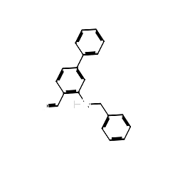 O=Cc1ccc(-c2ccccc2)cc1NCc1ccccc1